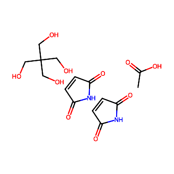 CC(=O)O.O=C1C=CC(=O)N1.O=C1C=CC(=O)N1.OCC(CO)(CO)CO